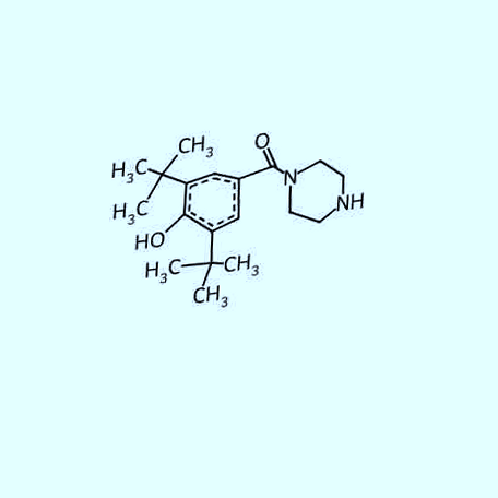 CC(C)(C)c1cc(C(=O)N2CCNCC2)cc(C(C)(C)C)c1O